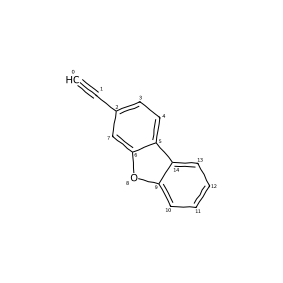 C#Cc1ccc2c(c1)oc1ccccc12